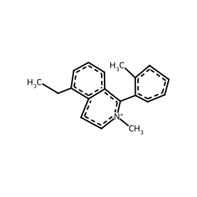 CCc1cccc2c(-c3ccccc3C)[n+](C)ccc12